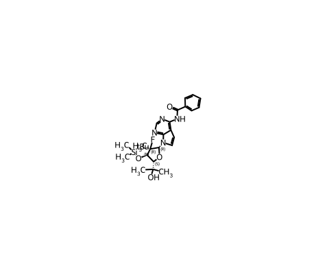 CC(C)(O)[C@H]1O[C@@H](n2ccc3c(NC(=O)c4ccccc4)ncnc32)[C@](C)(F)[C@@H]1O[Si](C)(C)C(C)(C)C